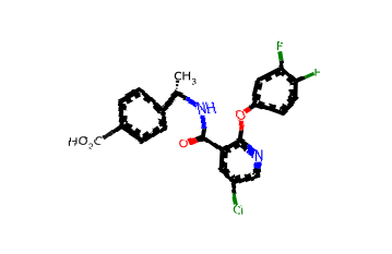 C[C@H](NC(=O)c1cc(Cl)cnc1Oc1ccc(F)c(F)c1)c1ccc(C(=O)O)cc1